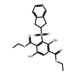 CCOC(=O)c1cc(O)c(C(=O)OCC)c(S(=O)(=O)C2Cc3ccccc3C2)c1O